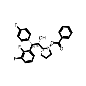 O=C(ON1CCC[C@@H]1[C@@H](O)[C@@H](c1ccc(F)cc1)c1cccc(F)c1F)c1ccccc1